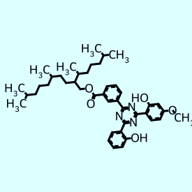 COc1ccc(-c2nc(-c3cccc(C(=O)OCC(CCC(C)CCCC(C)C)C(C)CCCC(C)C)c3)nc(-c3ccccc3O)n2)c(O)c1